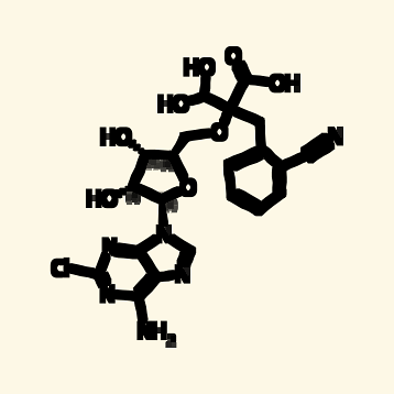 N#Cc1ccccc1CC(OC[C@H]1O[C@@H](n2cnc3c(N)nc(Cl)nc32)[C@H](O)[C@@H]1O)(C(=O)O)C(O)O